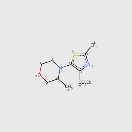 CCOC(=O)c1nc(C(F)(F)F)sc1N1CCOCC1C